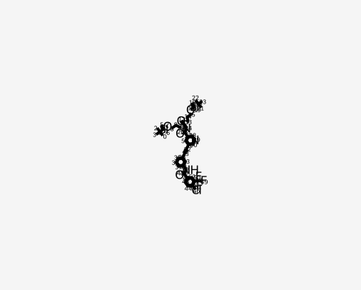 CC(C)(C)[Si](C)(C)OCCCS(=O)(CCCO[Si](C)(C)C(C)(C)C)=NC(=O)c1cncc(C#Cc2cccc(NC(=O)c3ccc(Cl)c(C(F)(F)F)c3)c2)c1